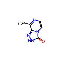 CCCCc1nccn2c(=O)[nH]nc12